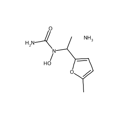 Cc1ccc(C(C)N(O)C(N)=O)o1.N